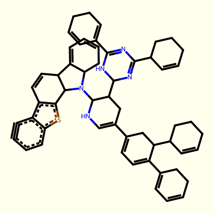 c1ccc2sc3c(c2c#1)C=CC1C2=CC=CCC2N(C2NC=C(C4=CC=C(C5=CC=CCC5)C(C5C=CCCC5)C4)CC2C2N=C(C4C=CCCC4)N=C(C4=CCCC=C4)N2)C31